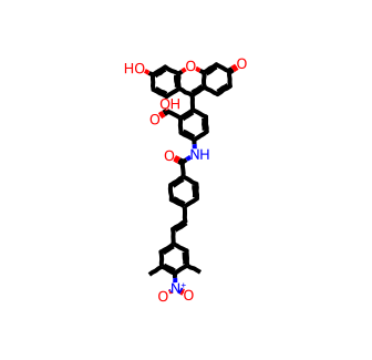 Cc1cc(C=Cc2ccc(C(=O)Nc3ccc(-c4c5ccc(=O)cc-5oc5cc(O)ccc45)c(C(=O)O)c3)cc2)cc(C)c1[N+](=O)[O-]